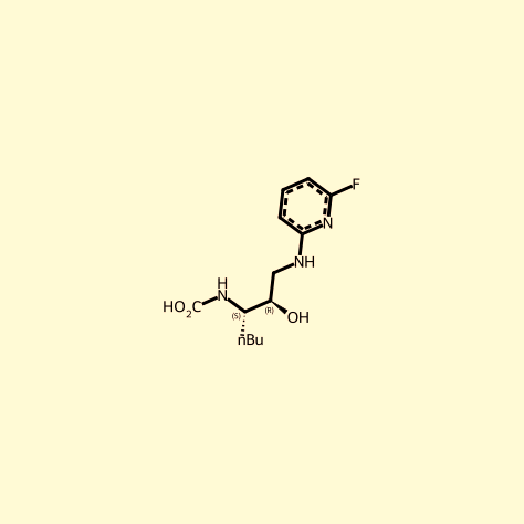 CCCC[C@H](NC(=O)O)[C@H](O)CNc1cccc(F)n1